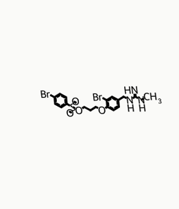 CNC(=N)NCc1ccc(OCCCOS(=O)(=O)c2ccc(Br)cc2)c(Br)c1